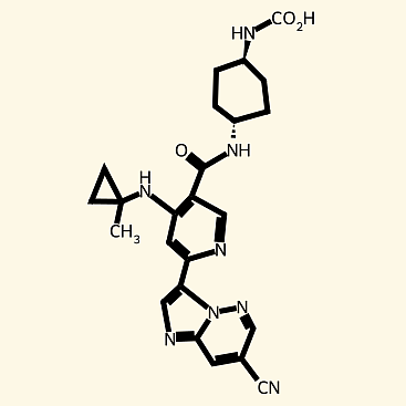 CC1(Nc2cc(-c3cnc4cc(C#N)cnn34)ncc2C(=O)N[C@H]2CC[C@H](NC(=O)O)CC2)CC1